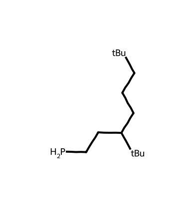 CC(C)(C)CCCC(CCP)C(C)(C)C